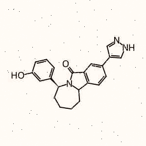 O=C1c2cc(-c3cn[nH]c3)ccc2C2CCCC[C@@H](c3cccc(O)c3)N12